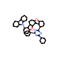 c1ccc(-c2nc(-c3ccccc3)nc(-c3cccc4oc5ccc6c(oc7cccc(-n8c9ccccc9c9ccccc98)c76)c5c34)n2)cc1